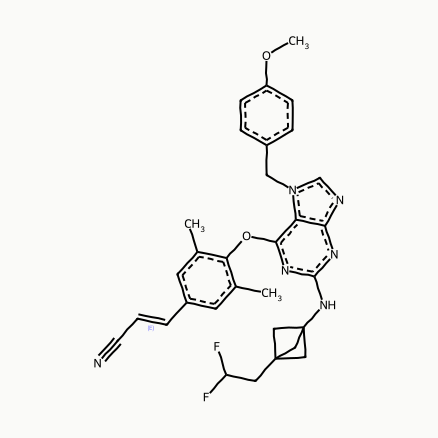 COc1ccc(Cn2cnc3nc(NC45CC(CC(F)F)(C4)C5)nc(Oc4c(C)cc(/C=C/C#N)cc4C)c32)cc1